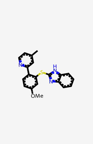 COc1ccc(-c2cc(C)ccn2)c(Sc2nc3ccccc3[nH]2)c1